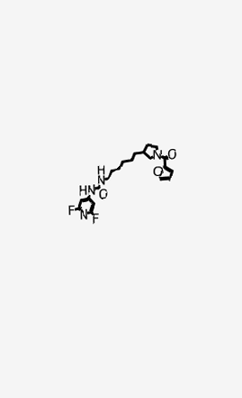 O=C(NCCCCCCC1CCN(C(=O)c2ccco2)C1)Nc1cc(F)nc(F)c1